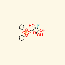 O=P(OCC1O[C@@H](O)C(O)C(F)[C@@H]1O)(Oc1ccccc1)Oc1ccccc1